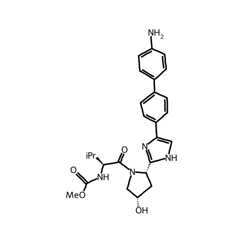 COC(=O)N[C@H](C(=O)N1C[C@@H](O)C[C@H]1c1nc(-c2ccc(-c3ccc(N)cc3)cc2)c[nH]1)C(C)C